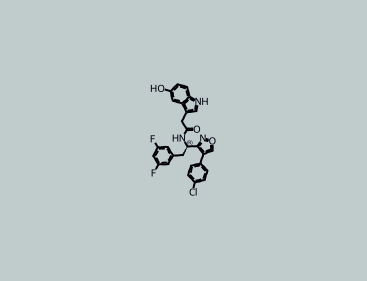 O=C(Cc1c[nH]c2ccc(O)cc12)N[C@H](Cc1cc(F)cc(F)c1)c1nocc1-c1ccc(Cl)cc1